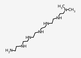 CN(C)CCNCCNCCNCCNCCNCCN